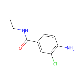 CCNC(=O)c1ccc(N)c(Cl)c1